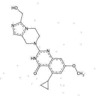 COc1cc(C2CC2)c2c(=O)[nH]c(N3CCn4c(cnc4CO)C3)nc2c1